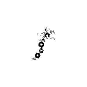 CCO[C@@H]1[C@@H](OC)[C@H](C)O[C@@H](OC(=S)Nc2ccc(-c3ncn(-c4ccc(O)cc4)n3)cc2)[C@@H]1OC